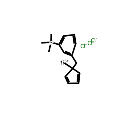 C[Si](C)(C)c1cccc(C[C]2([Ti+3])C=CC=C2)c1.[Cl-].[Cl-].[Cl-]